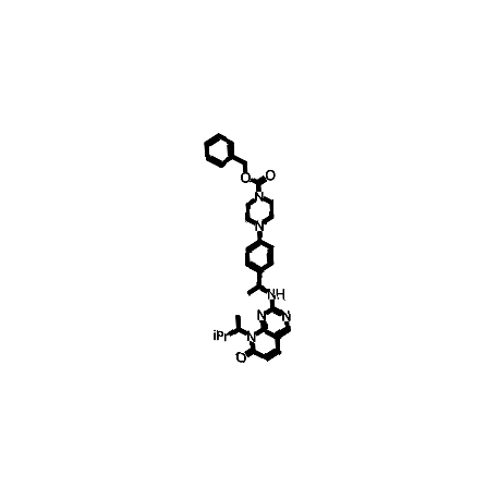 CC(Nc1ncc2ccc(=O)n(C(C)C(C)C)c2n1)c1ccc(N2CCN(C(=O)OCc3ccccc3)CC2)cc1